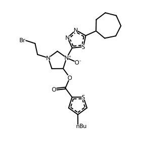 CCCCc1csc(C(=O)OC2CN(CCBr)C[N+]2([O-])c2nnc(C3CCCCCC3)s2)c1